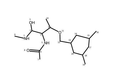 CNC(O)C(NC(C)=O)C(C)OCC1CC(C)CC(C)C1